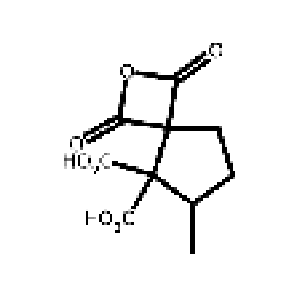 CC1CCC2(C(=O)OC2=O)C1(C(=O)O)C(=O)O